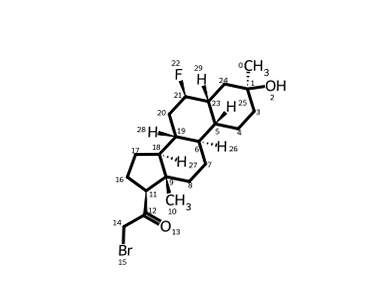 C[C@]1(O)CC[C@@H]2[C@H]3CC[C@]4(C)[C@@H](C(=O)CBr)CC[C@H]4[C@@H]3C[C@@H](F)[C@@H]2C1